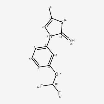 Cc1cn(-c2cccc(OC(F)F)c2)c(=N)s1